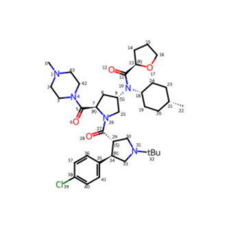 CN1CCN(C(=O)[C@H]2C[C@H](N(C(=O)[C@H]3CCCO3)[C@H]3CC[C@@H](C)CC3)CN2C(=O)[C@@H]2CN(C(C)(C)C)C[C@H]2c2ccc(Cl)cc2)CC1